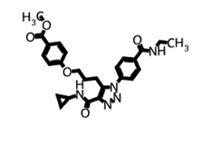 CCNC(=O)c1ccc(-n2nnc(C(=O)NC3CC3)c2CCCOc2ccc(C(=O)OC)cc2)cc1